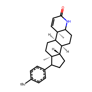 CC(C)(C)c1ccc(C2CC[C@H]3[C@@H]4CCC5NC(=O)C=C[C@]5(C)[C@@H]4CC[C@]23C)cc1